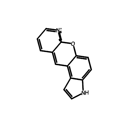 C1=CC2=Cc3c(ccc4[nH]ccc34)OC23C=CC=C[N+]3=C1